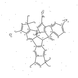 [CH2]=[Zr+2]([C]1=C(C)C(C(C)C)=CC1C)([c]1ccc(C(F)(F)F)cc1)[CH]1c2cc3c(cc2-c2cc4c(cc21)C(C)(C)C=C4C)C(C)=CC3(C)C.[Cl-].[Cl-]